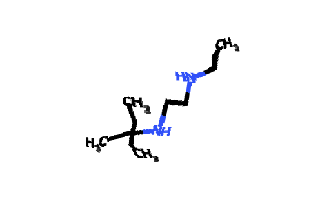 CCNCCNC(C)(C)C